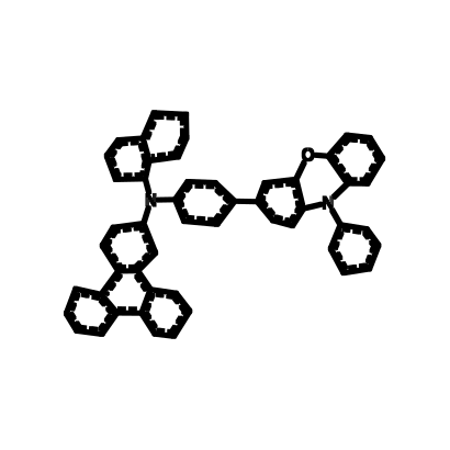 c1ccc(N2c3ccccc3Oc3cc(-c4ccc(N(c5ccc6c7ccccc7c7ccccc7c6c5)c5cccc6ccccc56)cc4)ccc32)cc1